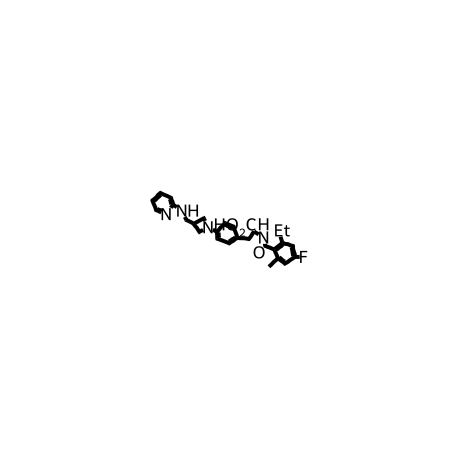 CCc1cc(F)cc(C)c1C(=O)NC(Cc1ccc(N2CC(CNc3ccccn3)C2)cc1)C(=O)O